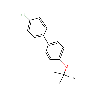 CC(C)(C#N)Oc1ccc(-c2ccc(Cl)cc2)cc1